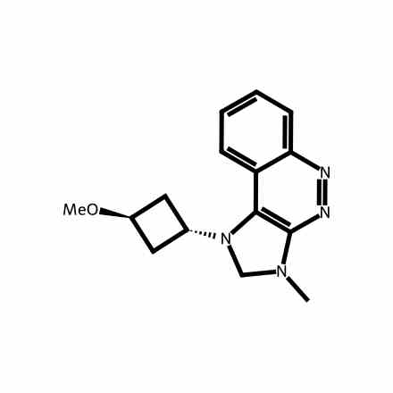 CO[C@H]1C[C@H](N2CN(C)c3nnc4ccccc4c32)C1